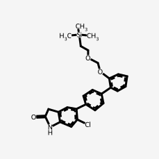 C[Si](C)(C)CCOCOc1ccccc1-c1ccc(-c2cc3c(cc2Cl)NC(=O)C3)cc1